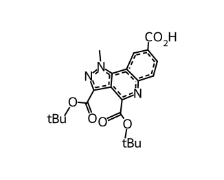 Cn1nc(C(=O)OC(C)(C)C)c2c(C(=O)OC(C)(C)C)nc3ccc(C(=O)O)cc3c21